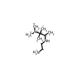 CC(NCCN)C(C)(C)N(C)C